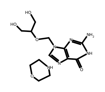 C1COCCN1.Nc1nc2c(ncn2COC(CO)CO)c(=O)[nH]1